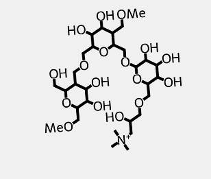 COCC1OC(CO)C(COCC2OC(COC3OC(COCC(O)C[N+](C)(C)C)C(O)C(O)C3O)C(COC)C(O)C2O)C(O)C1O